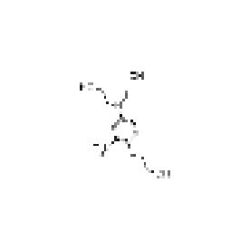 O=[N+]([O-])c1cc(N(CCO)CCO)ccc1CCCO